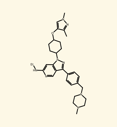 CCNc1cc2c(cn1)c(-c1ccc(CN3CCN(C)CC3)cc1)nn2C1CCC(Oc2cn(C)nc2C)CC1